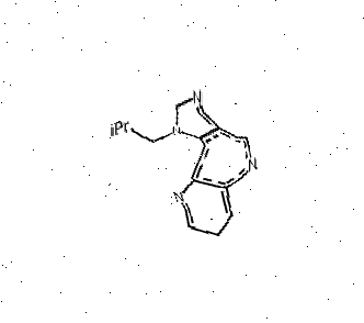 CC(C)CN1CN=c2cnc3c(c21)N=CCC=3